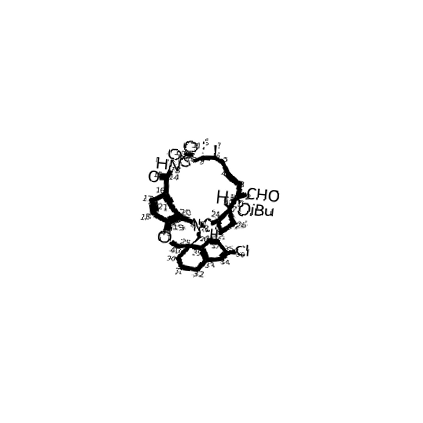 CC(C)CO[C@@]1(C=O)/C=C/C[C@H](C)[C@@H](C)S(=O)(=O)NC(=O)c2ccc3c(c2)N(C[C@@H]2CC[C@H]21)C[C@@]1(CCCc2cc(Cl)ccc21)CO3